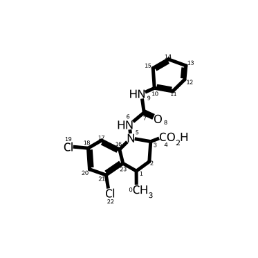 CC1CC(C(=O)O)N(NC(=O)Nc2ccccc2)c2cc(Cl)cc(Cl)c21